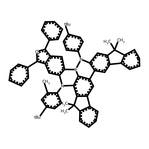 Cc1cc(C(C)(C)C)ccc1N1c2cc3c(-c4ccccc4)oc(-c4ccccc4)c3cc2B2c3c(cc4c(c31)C(C)(C)c1ccccc1-4)-c1cc3c(cc1N2c1ccc(C(C)(C)C)cc1)C(C)(C)c1ccccc1-3